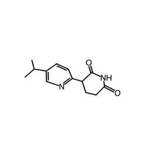 CC(C)c1ccc(C2CCC(=O)NC2=O)nc1